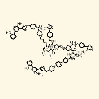 Cc1ncsc1-c1ccc(CNC(=O)[C@@H]2C[C@@H](OO[C@@H]3C[C@@H](C(=O)NCc4ccc(-c5scnc5C)cc4)N(C(=O)[C@@H](NC(=O)c4ccc(-c5ccc(N6CCC(Cn7cc(-c8cc(-c9ccccc9O)nnc8N)cn7)CC6)cc5)cc4)C(C)(C)C)C3)CN2C(=O)[C@@H](NC(=O)CCCCN2CCC(C(=O)N3CCC(Cn4cc(-c5cc(-c6ccccc6O)nnc5N)cn4)CC3)CC2)C(C)(C)C)cc1